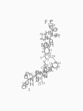 C/C(=C1\C=C/[C@H](C)CCc2ccc(cc2-c2ccc3[nH]c([C@@H]4CCCN4C(=O)[C@@H](NC(=O)OCC(F)(F)F)C(C)C)nc3c2)CC1)c1ccc2[nH]c([C@@H]3CCCN3C(=O)[C@@H](NC(=O)OCC(F)(F)F)C(C)C)nc2c1